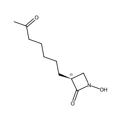 CC(=O)CCCCC[C@H]1CN(O)C1=O